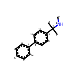 CNC(C)(C)c1ccc(-c2ccccc2)cc1